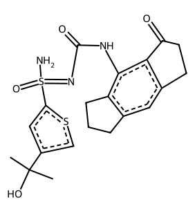 CC(C)(O)c1csc(S(N)(=O)=NC(=O)Nc2c3c(cc4c2C(=O)CC4)CCC3)c1